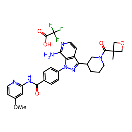 COc1ccnc(NC(=O)c2ccc(-n3nc(C4CCCN(C(=O)C5(C)COC5)C4)c4ccnc(N)c43)cc2)c1.O=C(O)C(F)(F)F